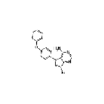 Nc1ncnc2c(Br)cn(-c3ccc(Oc4ccccc4)cc3)c12